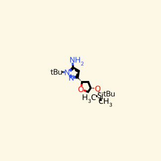 CC(C)(C)n1nc([C@@H]2C[C@H](O[Si](C)(C)C(C)(C)C)CO2)cc1N